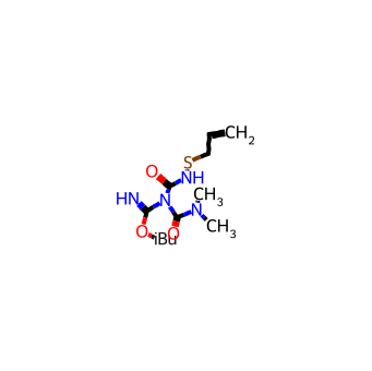 C=CCSNC(=O)N(C(=N)OC(C)CC)C(=O)N(C)C